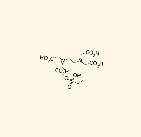 CCS(=O)(=O)O.O=C(O)CN(CCN(CC(=O)O)CC(=O)O)CC(=O)O